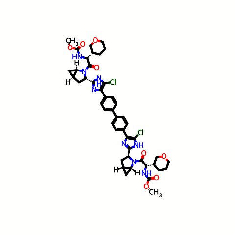 COC(=O)NC(C(=O)N1[C@@H]2C[C@@H]2C[C@H]1c1nc(-c2ccc(-c3ccc(-c4nc([C@@H]5C[C@H]6C[C@H]6N5C(=O)C(NC(=O)OC)[C@H]5CCCOC5)[nH]c4Cl)cc3)cc2)c(Cl)[nH]1)[C@H]1CCCOC1